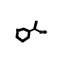 C=C([C]=O)c1cccnc1